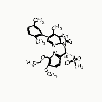 CCOc1nc([C@@H](CS(C)(=O)=O)n2c(=O)[nH]c3c(C)c(-c4cc(C)ccc4C)cnc32)ccc1OC